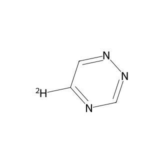 [2H]c1cnncn1